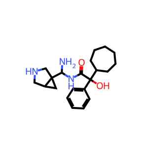 NC(NC(=O)C(O)(c1ccccc1)C1CCCCCC1)C12CNCC1C2